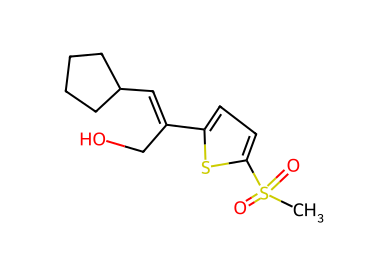 CS(=O)(=O)c1ccc(C(=CC2CCCC2)CO)s1